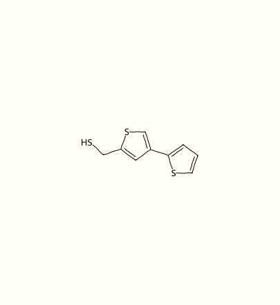 SCc1cc(-c2cccs2)cs1